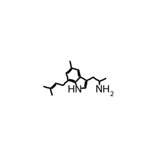 CC(C)=CCc1cc(C)cc2c(CC(C)N)c[nH]c12